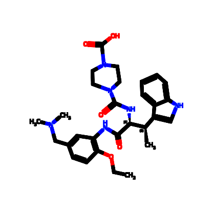 CCOc1ccc(CN(C)C)cc1NC(=O)[C@H](NC(=O)N1CCN(C(=O)O)CC1)[C@H](C)c1c[nH]c2ccccc12